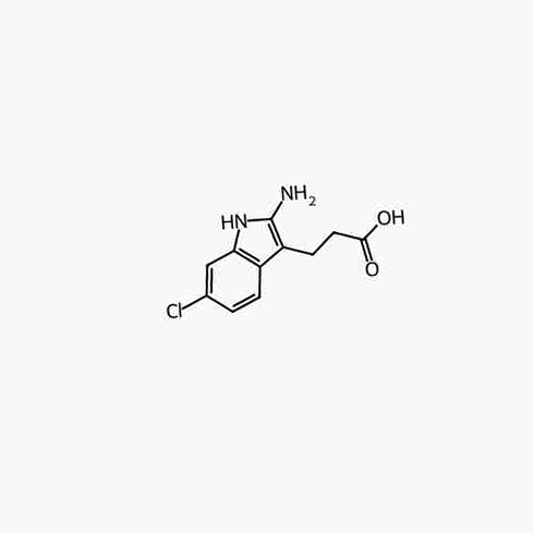 Nc1[nH]c2cc(Cl)ccc2c1CCC(=O)O